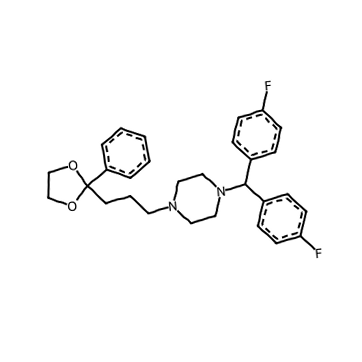 Fc1ccc(C(c2ccc(F)cc2)N2CCN(CCCC3(c4ccccc4)OCCO3)CC2)cc1